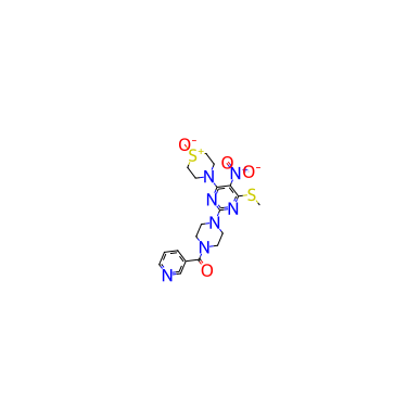 CSc1nc(N2CCN(C(=O)c3cccnc3)CC2)nc(N2CC[S+]([O-])CC2)c1[N+](=O)[O-]